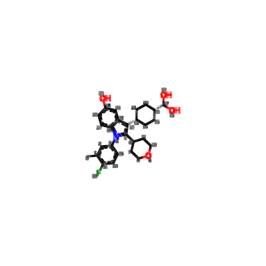 Cc1cc(-n2c(C3CCOCC3)c([C@H]3CC[C@@H](C(O)O)CC3)c3cc(O)ccc32)ccc1F